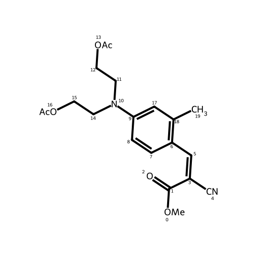 COC(=O)C(C#N)=Cc1ccc(N(CCOC(C)=O)CCOC(C)=O)cc1C